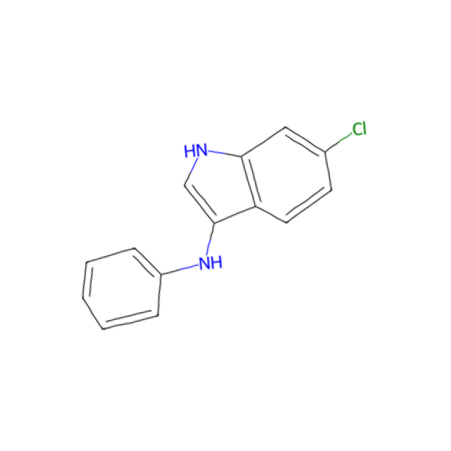 Clc1ccc2c(Nc3ccccc3)c[nH]c2c1